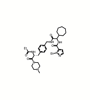 CCC(=O)N[C@H](Cc1ccc(CNC(=O)C(NC(=O)c2ccnn2CC)C2CCCCCC2)cc1)C(=O)N1CCN(C)CC1